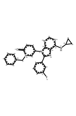 O=c1ccc(-n2c(-c3cccc(F)c3)nc3c(NC4CC4)ncnc32)cn1Cc1ccccc1